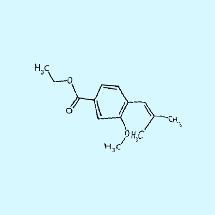 CCOC(=O)c1ccc(C=C(C)C)c(OC)c1